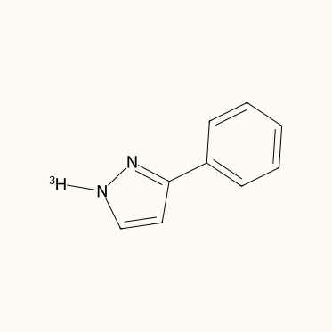 [3H]n1ccc(-c2ccccc2)n1